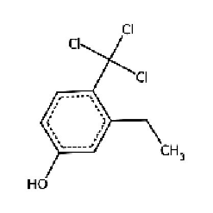 CCc1cc(O)ccc1C(Cl)(Cl)Cl